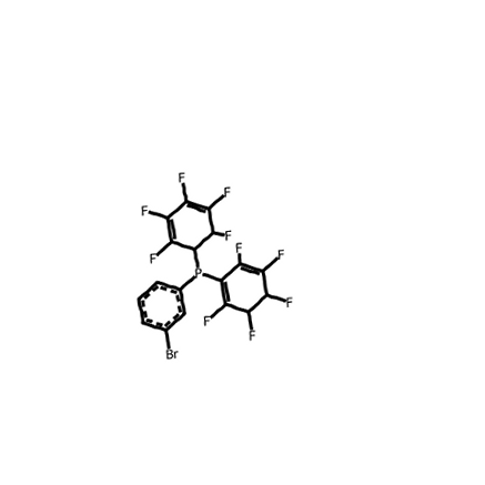 FC1=C(F)C(F)C(F)C(F)=C1P(c1cccc(Br)c1)C1C(F)=C(F)C(F)=C(F)C1F